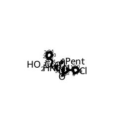 CCCCCOc1nc(-c2ccc(Cl)cc2)cc(=O)n1CC(=O)NC(Cc1ccccc1)C(=O)O